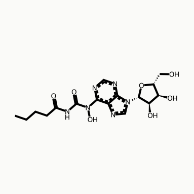 CCCCC(=O)NC(=O)N(O)c1ncnc2c1ncn2[C@@H]1O[C@H](CO)[C@@H](O)[C@H]1O